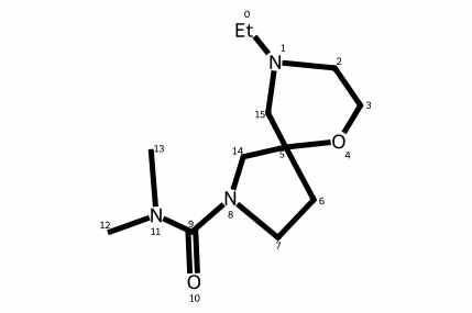 CCN1CCOC2(CCN(C(=O)N(C)C)C2)C1